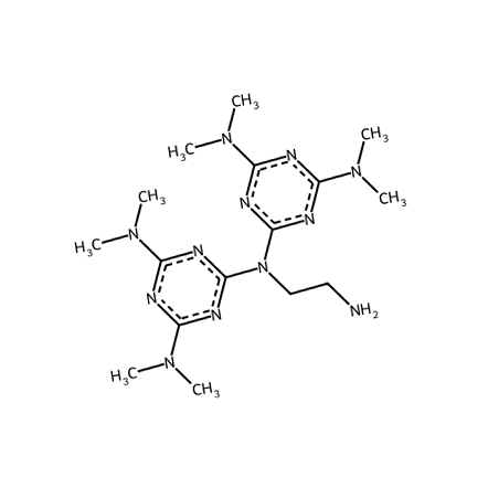 CN(C)c1nc(N(C)C)nc(N(CCN)c2nc(N(C)C)nc(N(C)C)n2)n1